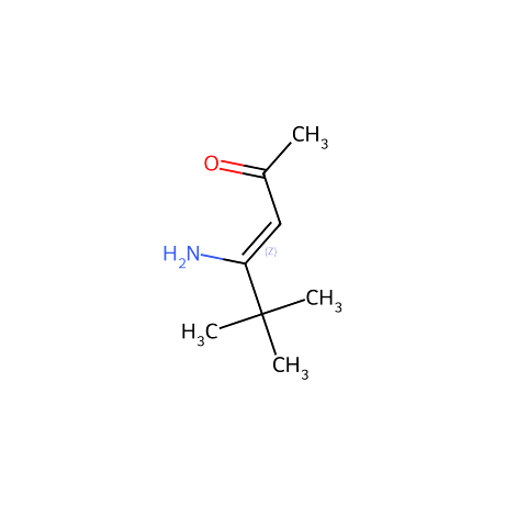 CC(=O)/C=C(\N)C(C)(C)C